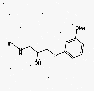 COc1cccc(OCC(O)CNC(C)C)c1